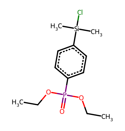 CCOP(=O)(OCC)c1ccc([Si](C)(C)Cl)cc1